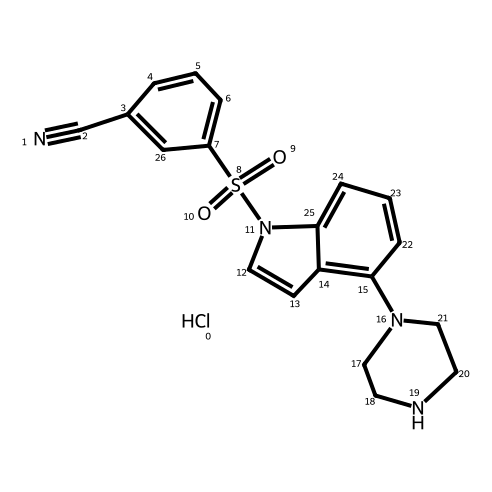 Cl.N#Cc1cccc(S(=O)(=O)n2ccc3c(N4CCNCC4)cccc32)c1